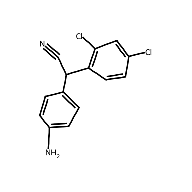 N#CC(c1ccc(N)cc1)c1ccc(Cl)cc1Cl